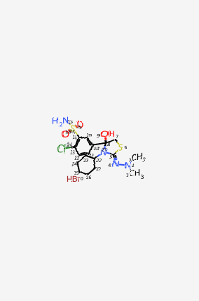 Br.CN(C)N=C1SCC(O)(c2ccc(Cl)c(S(N)(=O)=O)c2)N1C1CCCCC1